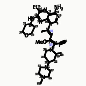 C#C/C(=C(\C=C(/C)c1cnc(N)c2nc(CC)c(NC3CCOCC3)nc12)OC)N1CCC(N2CCN(C)CC2)CC1C